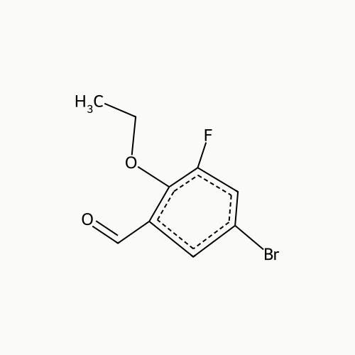 CCOc1c(F)cc(Br)cc1C=O